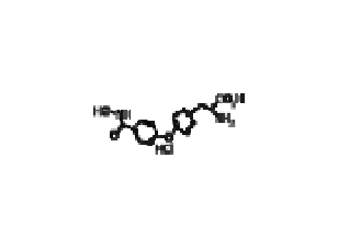 Cl.NC(Cc1ccc(Oc2ccc(C(=O)NO)cc2)cc1)C(=O)O